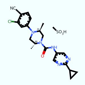 CS(=O)(=O)O.C[C@@H]1CN(c2ccc(C#N)c(Cl)c2)[C@@H](C)CN1C(=O)Nc1cnc(C2CC2)nc1